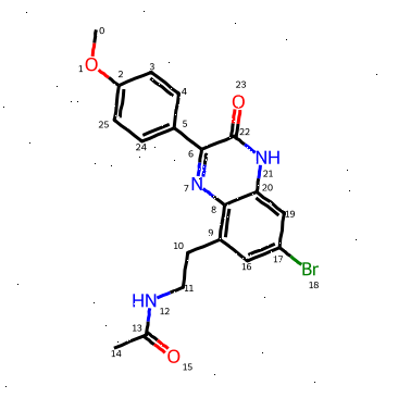 COc1ccc(-c2nc3c(CCNC(C)=O)cc(Br)cc3[nH]c2=O)cc1